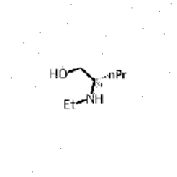 CCC[C@@H](CO)NCC